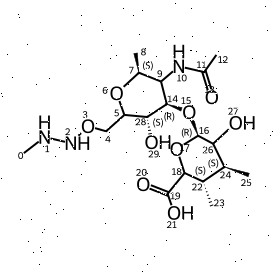 CNNOCC1O[C@@H](C)C(NC(C)=O)[C@@H](O[C@@H]2OC(C(=O)O)[C@@H](C)[C@H](C)C2O)[C@@H]1O